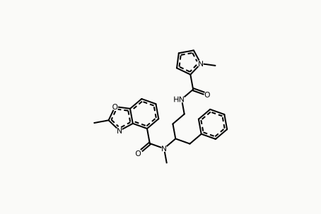 Cc1nc2c(C(=O)N(C)C(CCNC(=O)c3cccn3C)Cc3ccccc3)cccc2o1